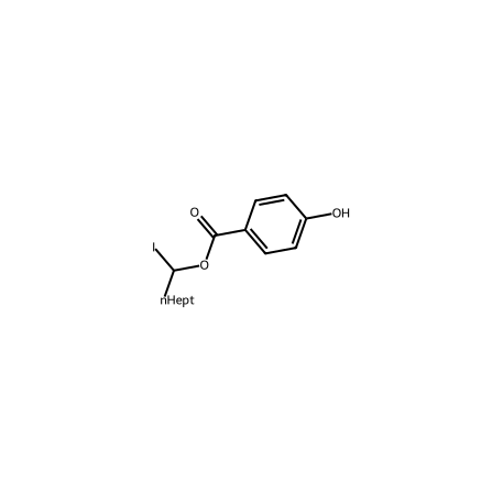 CCCCCCCC(I)OC(=O)c1ccc(O)cc1